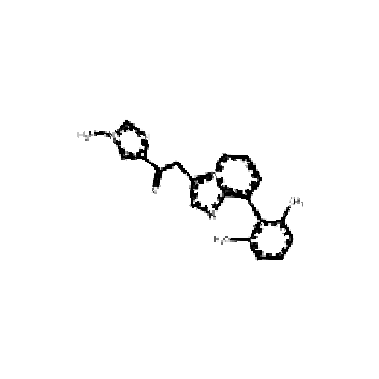 Cc1cccc(C)c1-c1cccn2c(CC(=O)c3cn(C)cn3)cnc12